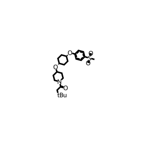 CC(C)(C)CC(=O)N1CCC(O[C@H]2CC[C@H](Oc3ccc(S(C)(=O)=O)cc3)CC2)CC1